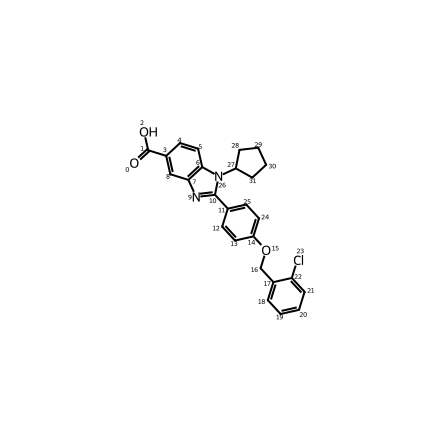 O=C(O)c1ccc2c(c1)nc(-c1ccc(OCc3ccccc3Cl)cc1)n2C1CCCC1